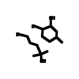 CC(C)CCCC(C)(C)O.CC1CCC(C(C)C)C(O)C1